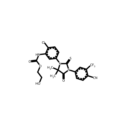 CC1(C)C(=O)N(c2ccc(C#N)c(C(F)(F)F)c2)C(=S)N1c1ccc(Cl)c(NC(=O)OCCO)c1